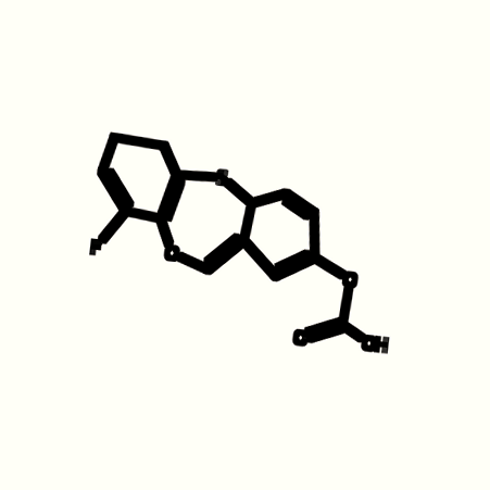 O=C(O)OC1=CC2=COC3=C(CCC=C3F)SC2C=C1